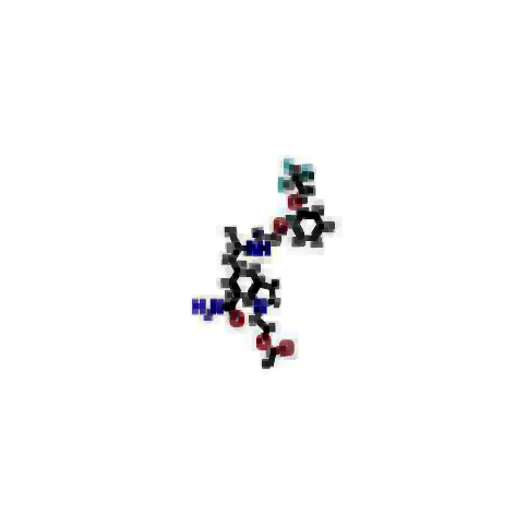 CC(=O)OCCN1CCc2cc(CC(C)NCCOc3ccccc3OCC(F)(F)F)cc(C(N)=O)c21